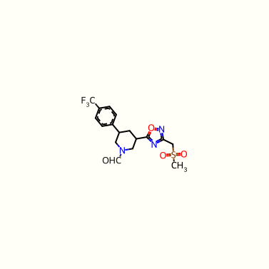 CS(=O)(=O)Cc1noc(C2CC(c3ccc(C(F)(F)F)cc3)CN(C=O)C2)n1